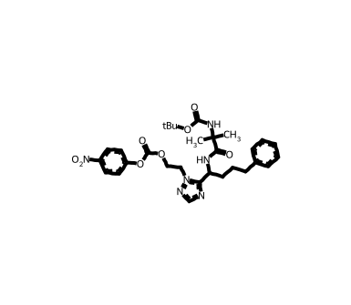 CC(C)(C)OC(=O)NC(C)(C)C(=O)NC(CCCc1ccccc1)c1ncnn1CCOC(=O)Oc1ccc([N+](=O)[O-])cc1